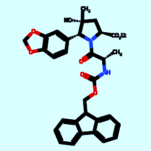 CCOC(=O)[C@@H]1C[C@@](C)(C#N)[C@@H](c2ccc3c(c2)OCO3)N1C(=O)[C@H](C)NC(=O)OCC1c2ccccc2-c2ccccc21